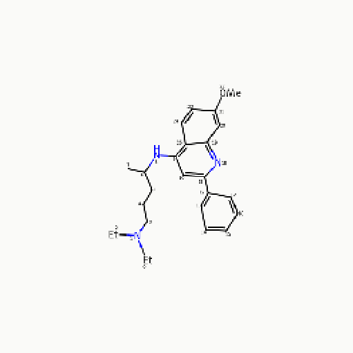 CCN(CC)CCCC(C)Nc1cc(-c2ccccc2)nc2cc(OC)ccc12